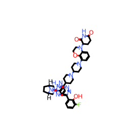 Nc1nnc(-c2cccc(F)c2O)cc1N1C[C@H]2CC[C@@H](C1)N2c1nccc(C2CCN(C3CCN(c4cccc5c4OCCN5C4CCC(=O)NC4=O)CC3)CC2)n1